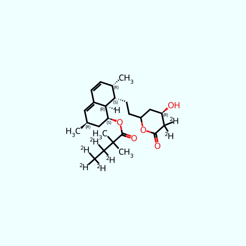 [2H]C1([2H])C(=O)OC(CC[C@@H]2[C@@H]3C(=C[C@H](C)C[C@@H]3OC(=O)C(C)(C)C([2H])([2H])C([2H])([2H])[2H])C=C[C@@H]2C)C[C@H]1O